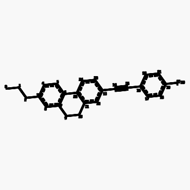 CCCc1ccc2c(c1)CCc1cc(C#Cc3ccc(F)cc3)ccc1-2